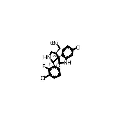 CC(C)(C)C[C@@H]1CN[C@H](c2cccc(Cl)c2F)[C@]12C(=O)Nc1cc(Cl)ccc12